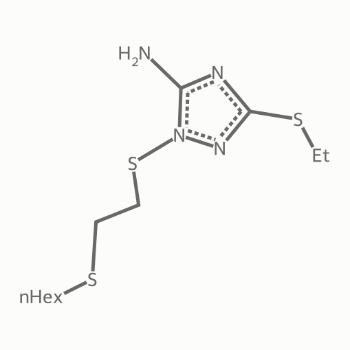 CCCCCCSCCSn1nc(SCC)nc1N